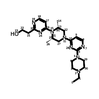 CCN1CCN(c2nccc(N3C[C@@H](C)N(c4ccnc(CCO)n4)[C@@H](C)C3)n2)CC1